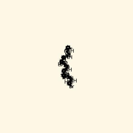 Cc1cccc(C)c1NC(=O)c1cnc(Nc2cccc(-c3ccc(C)c(NC(=O)c4cnc(Nc5cccc(-c6ccc(C)c(NC(=O)c7cnc(Nc8cccc(Br)c8)s7)c6Cl)c5)s4)c3C)n2)s1